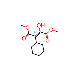 COC(=O)/C(O)=C(/C(=O)OC)C1CCCCC1